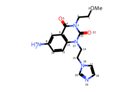 COCCn1c(=O)c2cc(N)ccc2n(CCn2ccnc2)c1=O